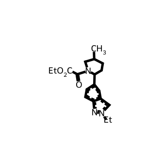 CCOC(=O)C(=O)N1CC(C)CCC1c1ccc2nn(CC)cc2c1